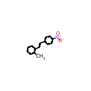 Cc1ccccc1C=Cc1ccc([N+](=O)[O-])cc1